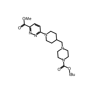 COC(=O)c1ccc(N2CCC(CN3CCN(C(=O)OC(C)(C)C)CC3)CC2)nn1